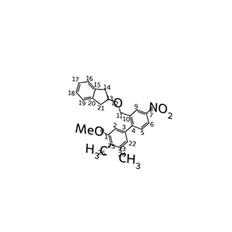 COc1cc(-c2ccc([N+](=O)[O-])cc2COC2Cc3ccccc3C2)cc(C)c1C